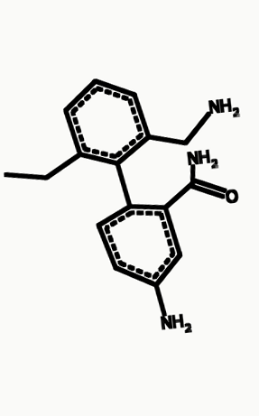 CCc1cccc(CN)c1-c1ccc(N)cc1C(N)=O